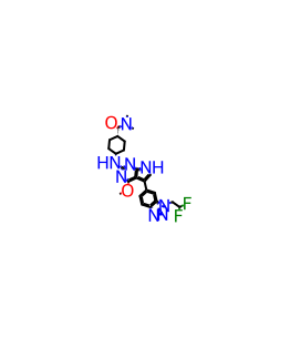 COc1nc(N[C@H]2CC[C@@H](C(=O)N(C)C)CC2)nc2[nH]cc(-c3ccc4nnn(CC(F)F)c4c3)c12